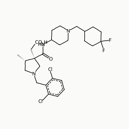 C[C@H]1CN(Cc2c(Cl)cccc2Cl)C[C@]1(CC(=O)O)C(=O)NC1CCN(CC2CCC(F)(F)CC2)CC1